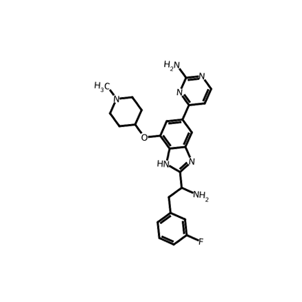 CN1CCC(Oc2cc(-c3ccnc(N)n3)cc3nc(C(N)Cc4cccc(F)c4)[nH]c23)CC1